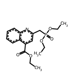 CCOC(=O)c1cc(CP(=O)(OCC)OCC)nc2ccccc12